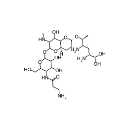 CNC1C(OC2OC(CO)C(NC(=O)CCN)C(O)C2O)O[C@H]2CC[C@@H](O[C@@H](C)C(N)CC(N)C(O)O)OC2C1O